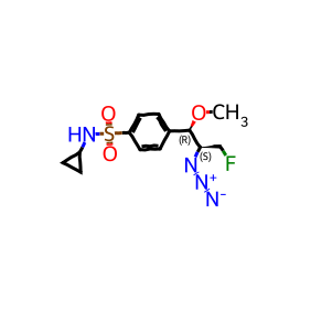 CO[C@H](c1ccc(S(=O)(=O)NC2CC2)cc1)[C@@H](CF)N=[N+]=[N-]